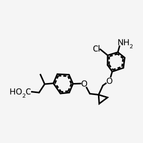 CC(CC(=O)O)c1ccc(OCC2(COc3ccc(N)c(Cl)c3)CC2)cc1